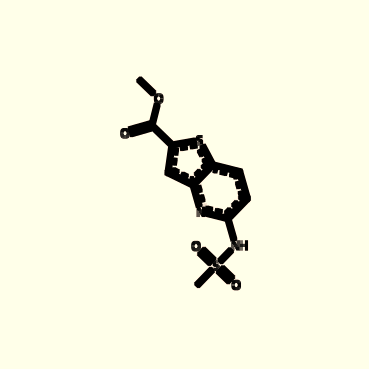 COC(=O)c1cc2nc(NS(C)(=O)=O)ccc2s1